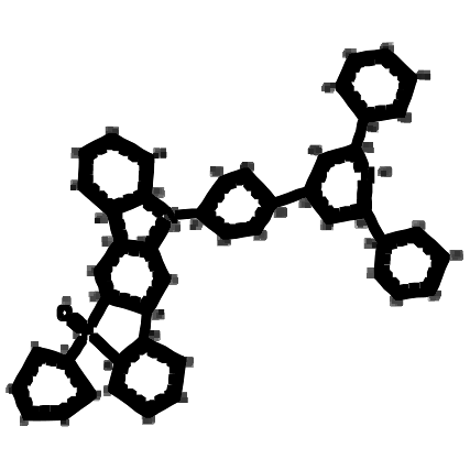 O=P1(c2ccccc2)c2ccccc2-c2cc3c(cc21)c1ccccc1n3-c1ccc(-c2cc(-c3ccccc3)nc(-c3ccccc3)c2)cc1